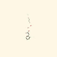 Cc1cc2c(c(C)c1Cl)C=C(C(=O)OC(C)OC(=O)OCCCCO[N+](=O)[O-])C(C(F)(F)F)O2